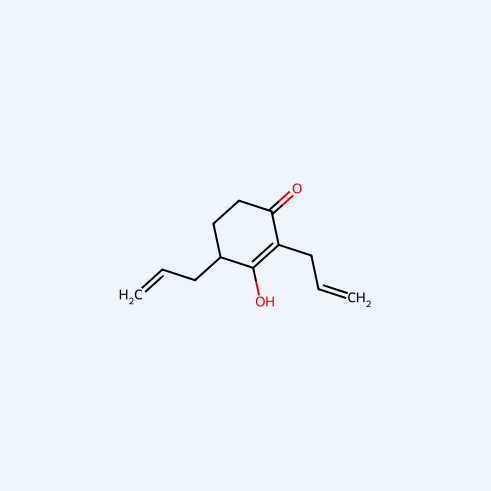 C=CCC1=C(O)C(CC=C)CCC1=O